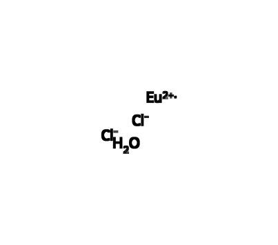 O.[Cl-].[Cl-].[Eu+2]